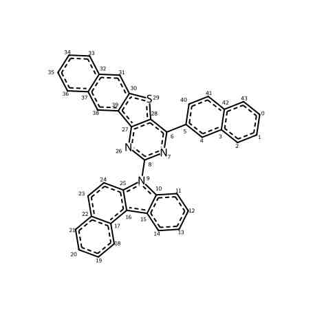 c1ccc2cc(-c3nc(-n4c5ccccc5c5c6ccccc6ccc54)nc4c3sc3cc5ccccc5cc34)ccc2c1